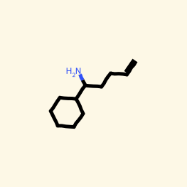 C=CCCC(N)C1CCCCC1